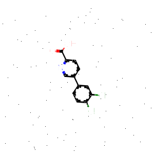 O=C(O)c1ccc(-c2ccc(Cl)c(Cl)c2)cn1